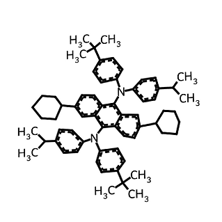 CC(C)c1ccc(N(c2ccc(C(C)(C)C)cc2)c2c3ccc(C4CCCCC4)cc3c(N(c3ccc(C(C)C)cc3)c3ccc(C(C)(C)C)cc3)c3ccc(C4CCCCC4)cc23)cc1